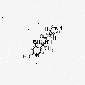 Cc1cc(C)c(C(C)(C)NC(=O)[C@H]2[C@@H]3CNC[C@@H]32)cn1